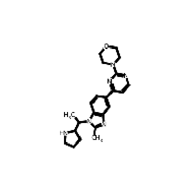 Cc1nc2cc(-c3c[c]nc(N4CCOCC4)n3)ccc2n1C(C)C1CCCN1